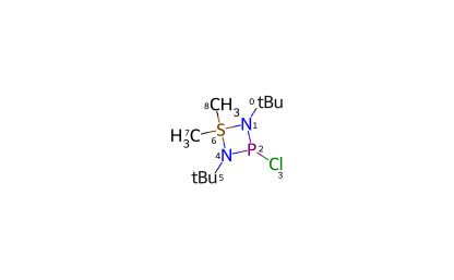 CC(C)(C)N1P(Cl)N(C(C)(C)C)S1(C)C